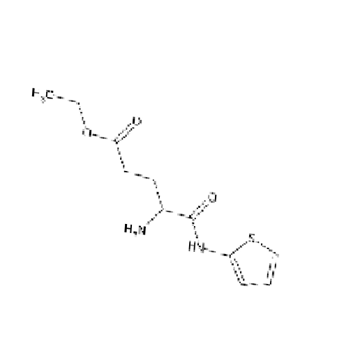 CCOC(=O)CCC(N)C(=O)Nc1cccs1